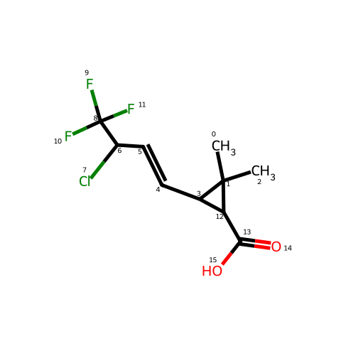 CC1(C)C(C=CC(Cl)C(F)(F)F)C1C(=O)O